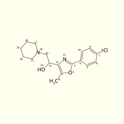 Cc1oc(-c2ccc(Cl)cc2)nc1C(O)CN1CCCCC1